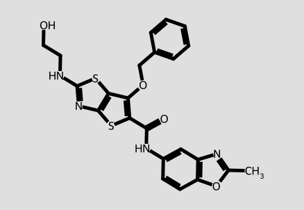 Cc1nc2cc(NC(=O)c3sc4nc(NCCO)sc4c3OCc3ccccc3)ccc2o1